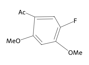 COc1cc(OC)c(C(C)=O)cc1F